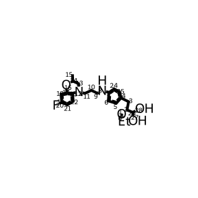 CCOC(Cc1ccc(NCCCN2CC(C)Oc3cc(F)ccc32)cc1)C(O)O